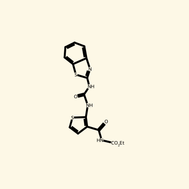 CCOC(=O)NC(=O)c1ccsc1NC(=O)Nc1nc2ccccc2s1